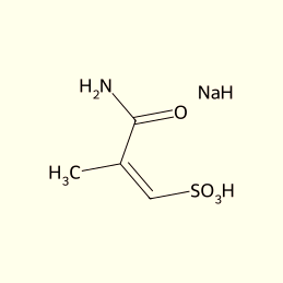 CC(=CS(=O)(=O)O)C(N)=O.[NaH]